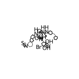 O=C(N/N=C/c1cc(Br)c(O)c(Br)c1O)C(Nc1ccc2cc3c(cc2c1)CCCC(N=C=S)C3)C(=O)NNC(=S)Nc1ccc(Cc2ccccc2)cc1